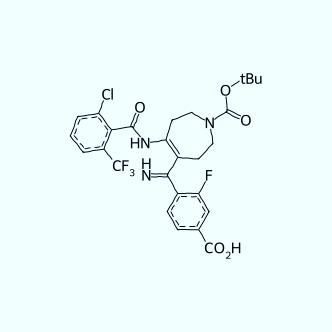 CC(C)(C)OC(=O)N1CCC(NC(=O)c2c(Cl)cccc2C(F)(F)F)=C(C(=N)c2ccc(C(=O)O)cc2F)CC1